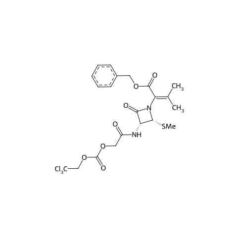 CS[C@@H]1[C@H](NC(=O)COC(=O)OCC(Cl)(Cl)Cl)C(=O)N1C(C(=O)OCc1ccccc1)=C(C)C